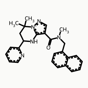 CN(Cc1cccc2ccccc12)C(=O)c1cnn2c1NC(c1ccccn1)CC2(C)C